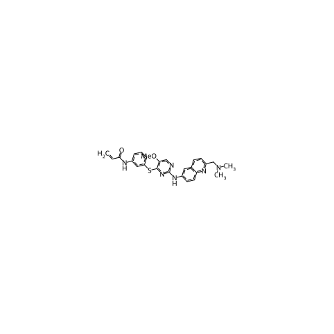 C=CC(=O)Nc1cccc(Sc2nc(Nc3ccc4nc(CN(C)C)ccc4c3)ncc2OC)c1